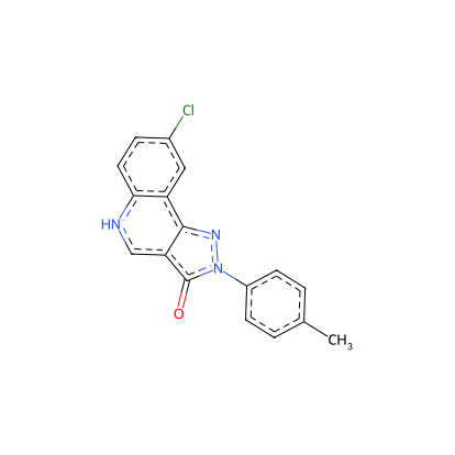 Cc1ccc(-n2nc3c4cc(Cl)ccc4[nH]cc-3c2=O)cc1